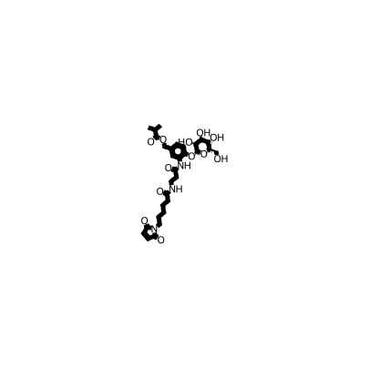 CC(C)C(=O)OCc1ccc(O[C@@H]2O[C@H](CO)[C@H](O)[C@H](O)[C@H]2O)c(NC(=O)CCNC(=O)CCCCCN2C(=O)C=CC2=O)c1